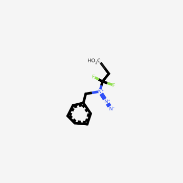 [N-]=[N+]=[N+](Cc1ccccc1)C(F)(F)CC(=O)O